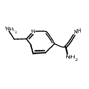 N=C(N)c1ccc(CN)nc1